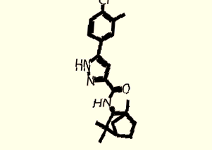 Cc1cc(-c2cc(C(=O)NC3C4(C)CCC(C4)C3(C)C)n[nH]2)ccc1Cl